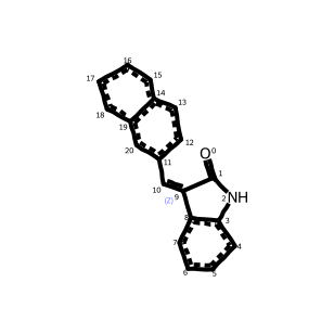 O=C1Nc2ccccc2/C1=C/c1ccc2ccccc2c1